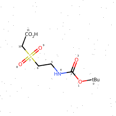 CC(C)(C)OC(=O)NCCS(=O)(=O)CC(=O)O